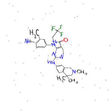 Cc1cc(-n2c3nc(Nc4ccc5c(c4)CN(C)CC5(C)C)ncc3c(=O)n2CC(F)(F)F)ccc1C#N